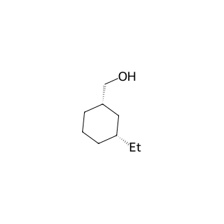 CC[C@@H]1CCC[C@H](CO)C1